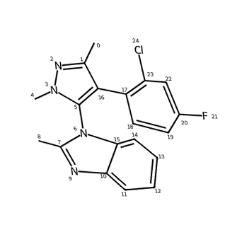 Cc1nn(C)c(-n2c(C)nc3ccccc32)c1-c1ccc(F)cc1Cl